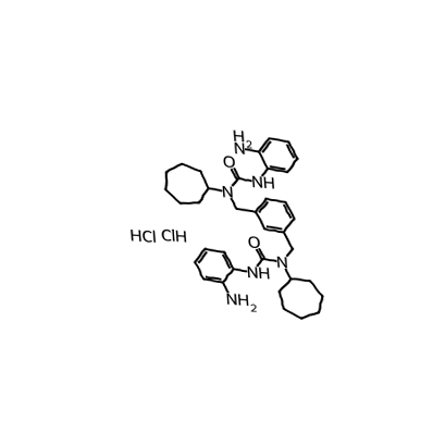 Cl.Cl.Nc1ccccc1NC(=O)N(Cc1cccc(CN(C(=O)Nc2ccccc2N)C2CCCCCC2)c1)C1CCCCCC1